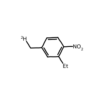 [2H]Cc1ccc([N+](=O)[O-])c(CC)c1